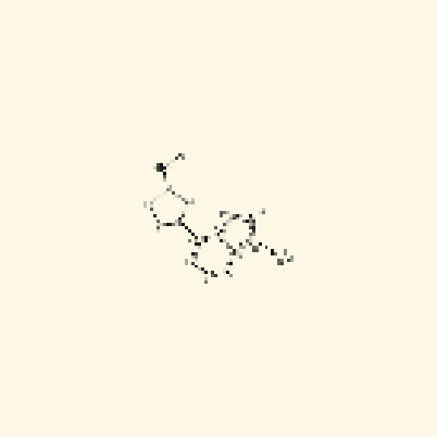 CNC1CCN(c2cccc3c(N)nsc23)C1